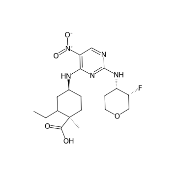 CCC1C[C@@H](Nc2nc(N[C@H]3CCOC[C@H]3F)ncc2[N+](=O)[O-])CC[C@@]1(C)C(=O)O